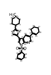 CN1CCC(c2nc(-c3cn(S(=O)(=O)c4ccccc4)c4ncc(C5=CCCCC5)cc34)cs2)CC1